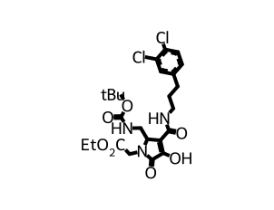 CCOC(=O)CN1C(=O)C(O)=C(C(=O)NCCCc2ccc(Cl)c(Cl)c2)C1CNC(=O)OC(C)(C)C